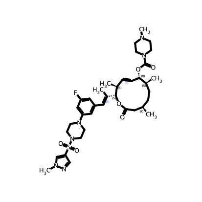 C/C(=C\c1cc(F)cc(N2CCN(S(=O)(=O)c3cnn(C)c3)CC2)c1)[C@H]1OC(=O)C[C@H](C)CC[C@H](C)[C@@H](OC(=O)N2CCN(C)CC2)/C=C/[C@@H]1C